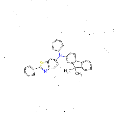 CC1(C)c2ccccc2-c2ccc(N(c3ccccc3)c3ccc4nc(-c5ccccc5)sc4c3)cc21